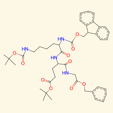 CC(C)(C)OC(=O)CCC(NC(=O)C(CCCCNC(=O)OC(C)(C)C)NC(=O)OCC1c2ccccc2-c2ccccc21)C(=O)NCC(=O)OCc1ccccc1